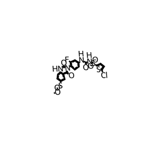 COOSc1ccc2[nH]c(=O)n(-c3ccc(NC(=O)NS(=O)(=O)c4ccc(Cl)s4)cc3F)c(=O)c2c1